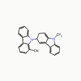 Cn1c2c(c3ccccc31)=CC(n1c3ccccc3c3cccc(C#N)c31)CC=2